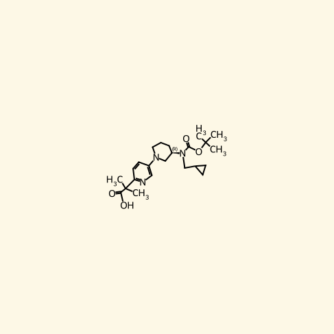 CC(C)(C)OC(=O)N(CC1CC1)[C@@H]1CCCN(c2ccc(C(C)(C)C(=O)O)nc2)C1